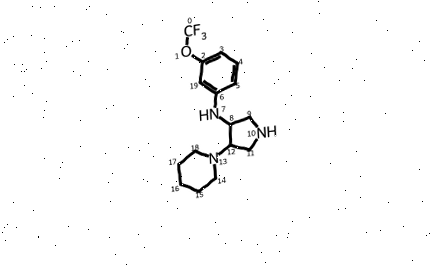 FC(F)(F)Oc1cccc(NC2CNCC2N2CCCCC2)c1